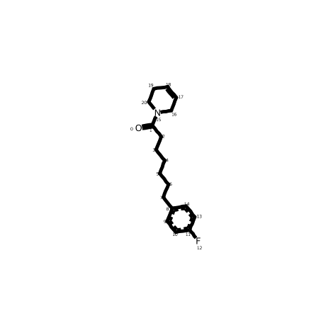 O=C(CCCCCCc1ccc(F)cc1)N1CC=CCC1